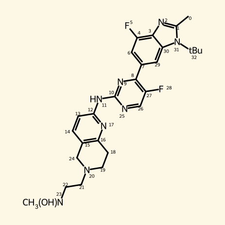 Cc1nc2c(F)cc(-c3nc(Nc4ccc5c(n4)CCN(CCN(C)O)C5)ncc3F)cc2n1C(C)(C)C